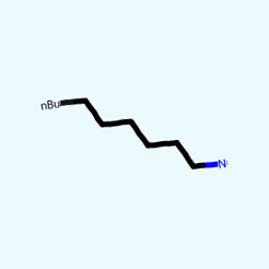 CCCCCCCCCC[N]